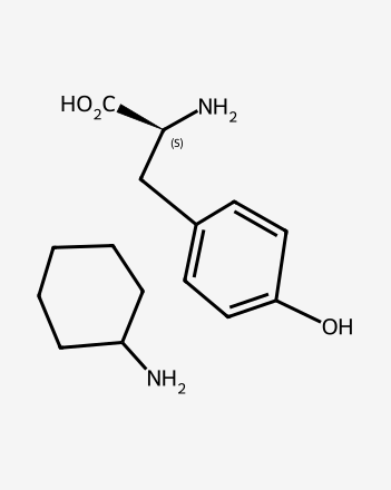 NC1CCCCC1.N[C@@H](Cc1ccc(O)cc1)C(=O)O